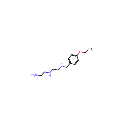 CCOc1ccc(CNCCNCCN)cc1